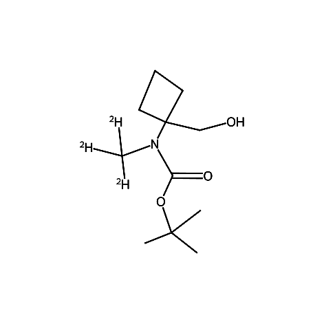 [2H]C([2H])([2H])N(C(=O)OC(C)(C)C)C1(CO)CCC1